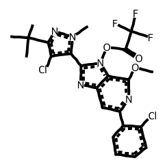 COc1nc(-c2ccccc2Cl)cc2nc(-c3c(Cl)c(C(C)(C)C)nn3C)n(OC(=O)C(F)(F)F)c12